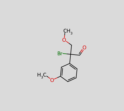 COCC(Br)(C=O)c1cccc(OC)c1